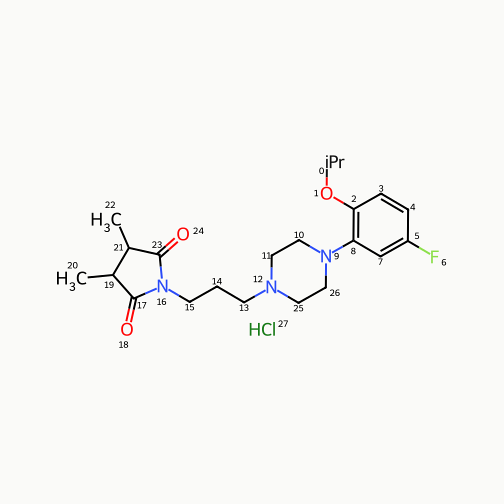 CC(C)Oc1ccc(F)cc1N1CCN(CCCN2C(=O)C(C)C(C)C2=O)CC1.Cl